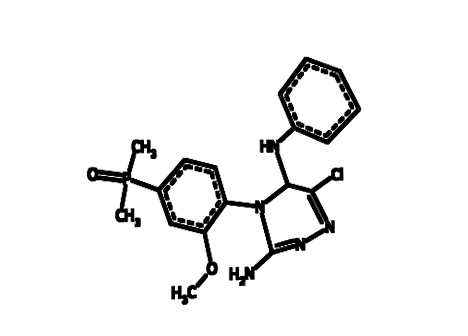 COc1cc(P(C)(C)=O)ccc1N1C(N)=NN=C(Cl)C1Nc1ccccc1